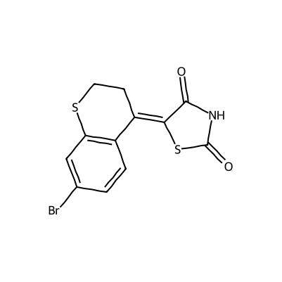 O=C1NC(=O)/C(=C2\CCSc3cc(Br)ccc32)S1